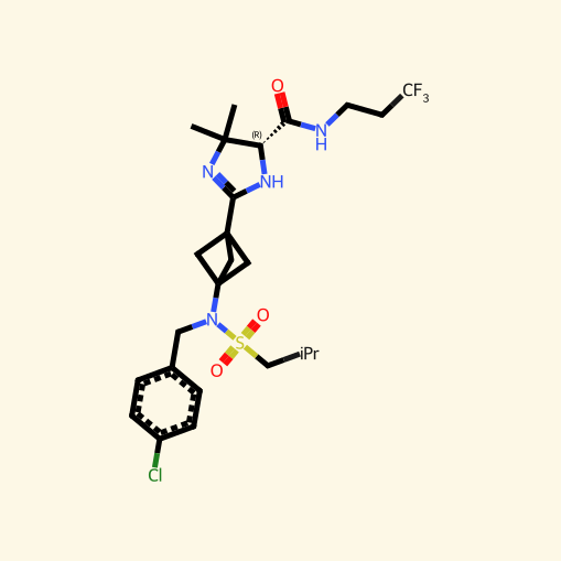 CC(C)CS(=O)(=O)N(Cc1ccc(Cl)cc1)C12CC(C3=NC(C)(C)[C@H](C(=O)NCCC(F)(F)F)N3)(C1)C2